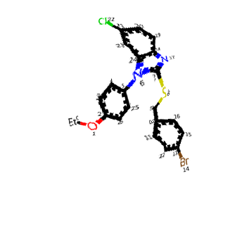 CCOc1ccc(-n2c(SCc3ccc(Br)cc3)nc3ccc(Cl)cc32)cc1